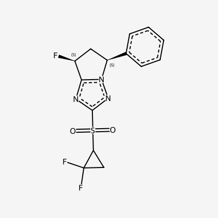 O=S(=O)(c1nc2n(n1)[C@H](c1ccccc1)C[C@@H]2F)C1CC1(F)F